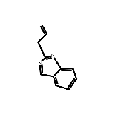 C=CCc1ncc2ccccc2n1